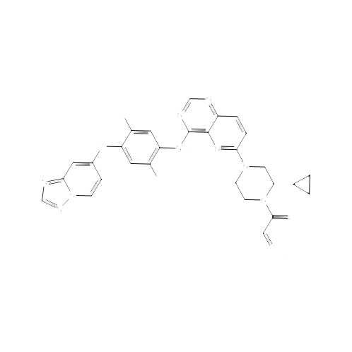 C=CC(=O)N1CCN(c2ccc3ncnc(Nc4cc(C)c(Oc5ccn6ncnc6c5)cc4F)c3n2)C[C@@H]1C1CC1